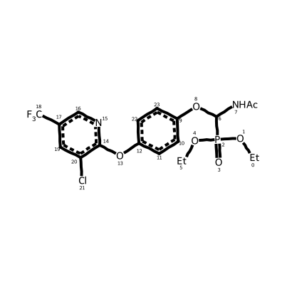 CCOP(=O)(OCC)C(NC(C)=O)Oc1ccc(Oc2ncc(C(F)(F)F)cc2Cl)cc1